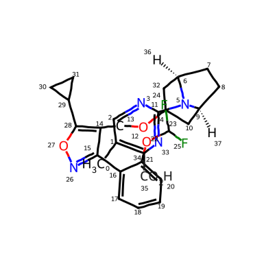 Cc1cnc(N2[C@@H]3CC[C@H]2CC(OCc2c(-c4ccccc4OC(F)F)noc2C2CC2)C3)nc1C(=O)O